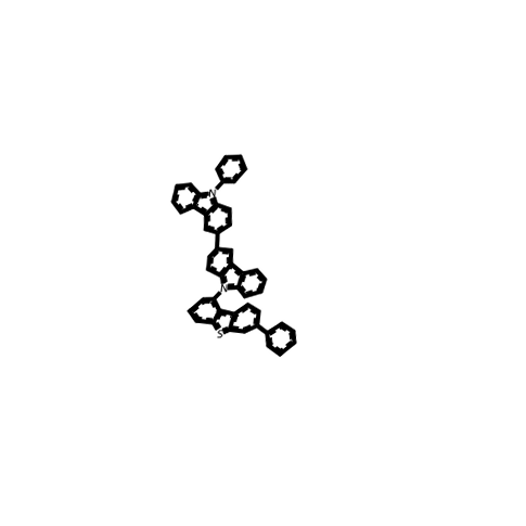 c1ccc(-c2ccc3c(c2)sc2cccc(-n4c5ccccc5c5cc(-c6ccc7c(c6)c6ccccc6n7-c6ccccc6)ccc54)c23)cc1